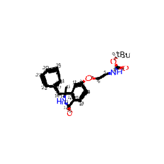 CC(C)(C)OC(=O)NCCOc1ccc2c(c1)C(C)(Cc1ccccc1)NC2=O